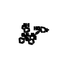 CN1CCC(O)(C#Cc2nc(N(c3ccc4[nH]ccc4c3)S(=O)(=O)c3ccccc3)c3ccccc3n2)CC1